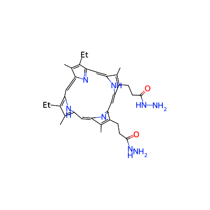 CCC1=C(C)c2cc3[nH]c(cc4nc(cc5[nH]c(cc1n2)c(C)c5CCC(=O)NN)C(CCC(=O)NN)=C4C)c(C)c3CC